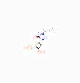 CC(=O)Nc1ncn([C@H]2CC(O)[C@@H](CO)S2)c(=O)n1